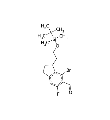 CC(C)(C)[Si](C)(C)OCCC1CCc2cc(F)c(C=O)c(Br)c21